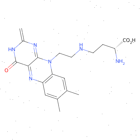 C=c1nc2c(c(=O)[nH]1)=Nc1cc(C)c(C)cc1N2CCNCC[C@@H](N)C(=O)O